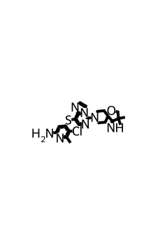 Cc1nc(N)cc(Sc2cnc(N3CCC4(CC3)OCC(C)(C)C4=N)n3ccnc23)c1Cl